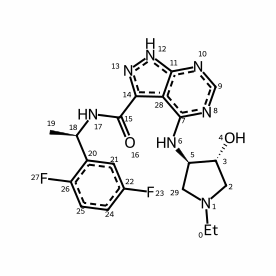 CCN1C[C@@H](O)[C@H](Nc2ncnc3[nH]nc(C(=O)N[C@H](C)c4cc(F)ccc4F)c23)C1